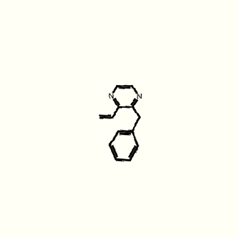 C=Cc1nccnc1Cc1ccccc1